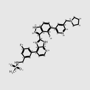 CS(=O)(=O)NCc1cc(F)cc(-c2ccnc3[nH]c(-c4n[nH]c5ccc(-c6cncc(CN7CCCC7)c6)c(F)c45)nc23)c1